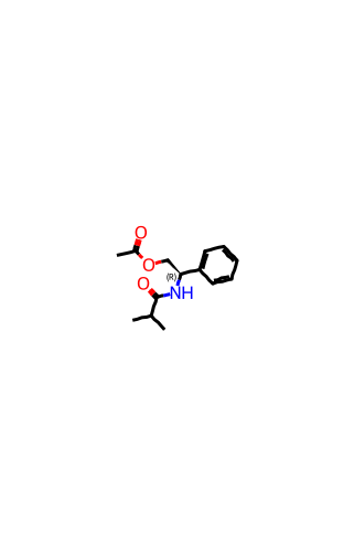 CC(=O)OC[C@H](NC(=O)C(C)C)c1ccccc1